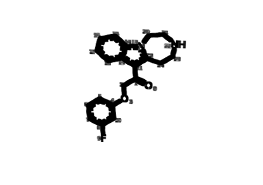 O=C(COc1cccc(F)c1)c1c2n(c3ccccc13)CCNCC2